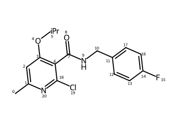 Cc1cc(OC(C)C)c(C(=O)NCc2ccc(F)cc2)c(Cl)n1